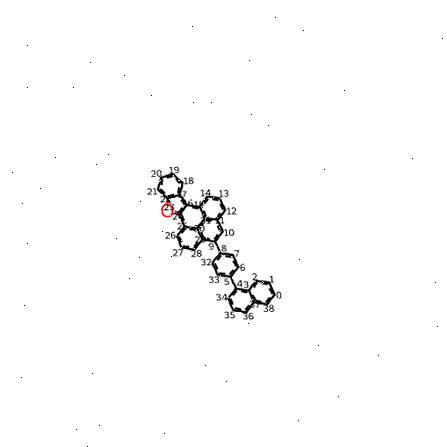 c1ccc2c(-c3ccc(-c4cc5cccc6c7c8ccccc8oc7c7cccc4c7c56)cc3)cccc2c1